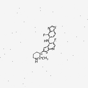 C[C@H]1NCCC[C@H]1c1cc2c(Nc3ccc4scnc4c3F)c(F)cnc2s1